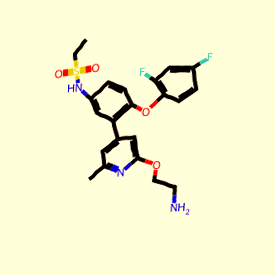 CCS(=O)(=O)Nc1ccc(Oc2ccc(F)cc2F)c(-c2cc(C)nc(OCCN)c2)c1